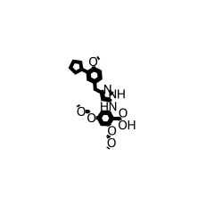 COCOc1cc(Nc2cc(Cc3ccc(OC)c(C4CCCC4)c3)n[nH]2)c(C(=O)O)c(OCOC)c1